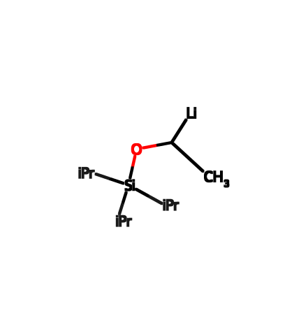 [Li][CH](C)O[Si](C(C)C)(C(C)C)C(C)C